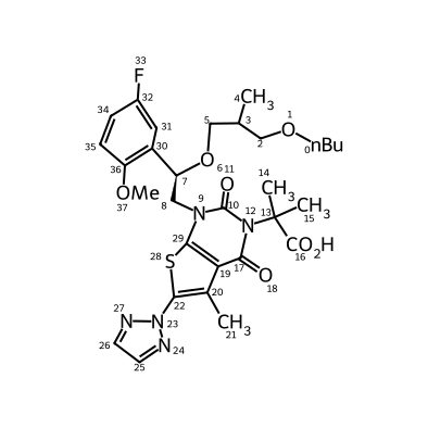 CCCCOCC(C)CO[C@@H](Cn1c(=O)n(C(C)(C)C(=O)O)c(=O)c2c(C)c(-n3nccn3)sc21)c1cc(F)ccc1OC